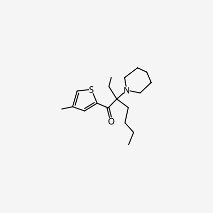 CCCCC(CC)(C(=O)c1cc(C)cs1)N1CCCCC1